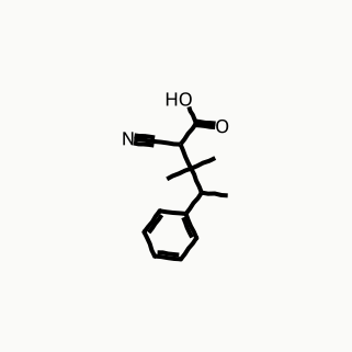 CC(c1ccccc1)C(C)(C)C(C#N)C(=O)O